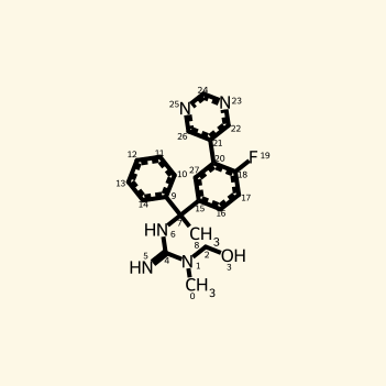 CN(CO)C(=N)NC(C)(c1ccccc1)c1ccc(F)c(-c2cncnc2)c1